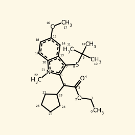 CCOC(=O)C(c1c(SC(C)(C)C)c2cc(OC)ccc2n1C)C1CCCC1